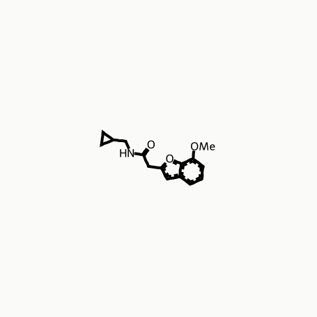 COc1cccc2cc(CC(=O)NCC3CC3)oc12